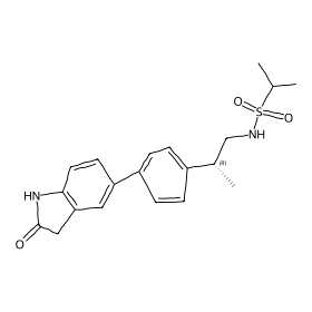 CC(C)S(=O)(=O)NC[C@H](C)c1ccc(-c2ccc3c(c2)CC(=O)N3)cc1